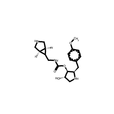 COc1ccc(C[C@H]2NC[C@H](O)[C@H]2OC(=O)NCC2[C@H]3CNC[C@@H]23)cc1